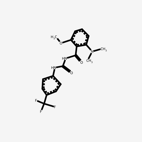 COc1cccc(N(C)C)c1C(=O)NC(=O)Nc1ccc(C(F)(F)F)cc1